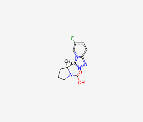 C[C@@]1(c2nnc3ccc(F)cn23)CCCN1C(=O)O